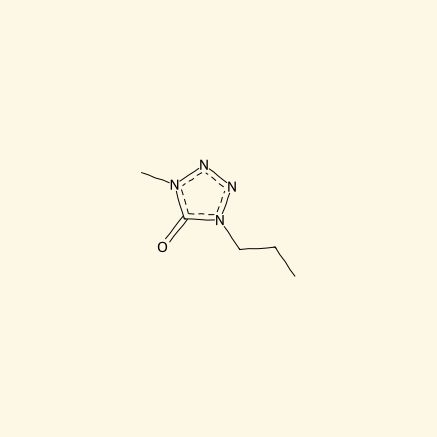 CCCn1nnn(C)c1=O